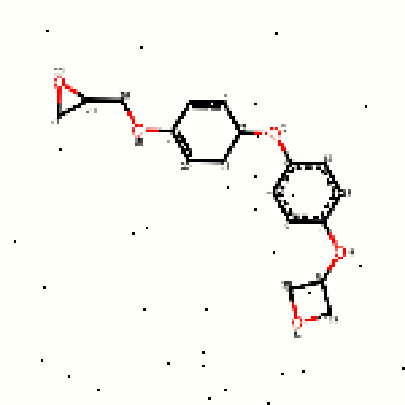 C1=CC(Oc2ccc(OC3COC3)cc2)CC=C1OCC1CO1